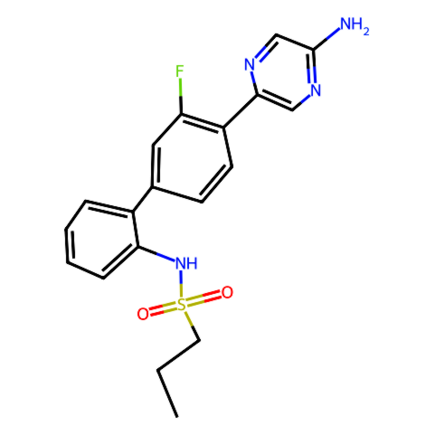 CCCS(=O)(=O)Nc1ccccc1-c1ccc(-c2cnc(N)cn2)c(F)c1